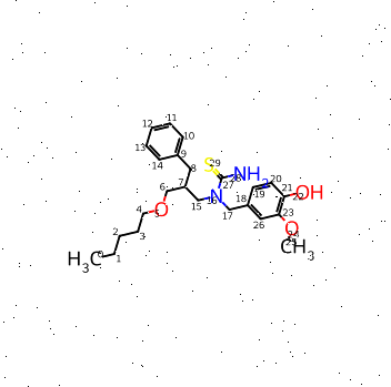 CCCCCOCC(Cc1ccccc1)CN(Cc1ccc(O)c(OC)c1)C(N)=S